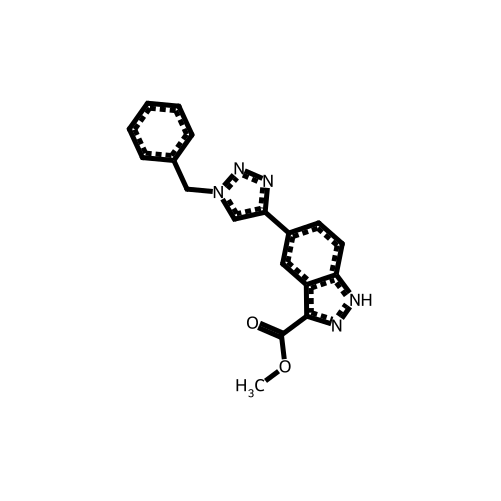 COC(=O)c1n[nH]c2ccc(-c3cn(Cc4ccccc4)nn3)cc12